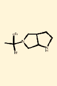 CCCC(C)(CC)N1CC2CCNC2C1